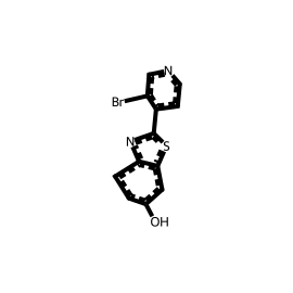 Oc1ccc2nc(-c3ccncc3Br)sc2c1